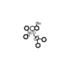 CC(C)(C)c1cccc2c1CCC[C@]2(OCc1nc(-c2ccccc2)c(-c2ccccc2)o1)O[SiH](c1ccccc1)c1ccccc1